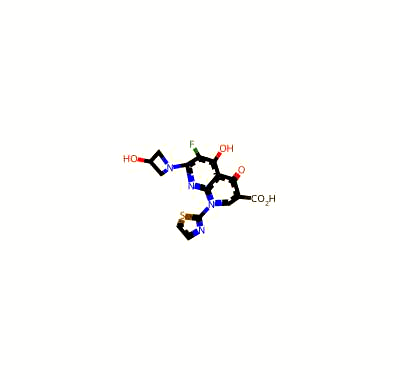 O=C(O)c1cn(-c2nccs2)c2nc(N3CC(O)C3)c(F)c(O)c2c1=O